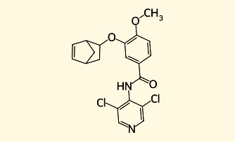 COc1ccc(C(=O)Nc2c(Cl)cncc2Cl)cc1OC1CC2C=CC1C2